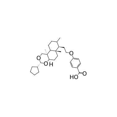 CC1CCC2[C@]3(C)CO[C@@H](C4CCCC4)O[C@@H]3CC[C@@]2(C)[C@@H]1CCOc1ccc(C(=O)O)cc1